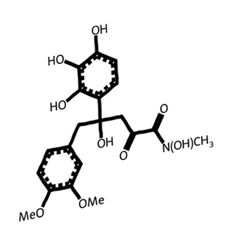 COc1ccc(CC(O)(CC(=O)C(=O)N(C)O)c2ccc(O)c(O)c2O)cc1OC